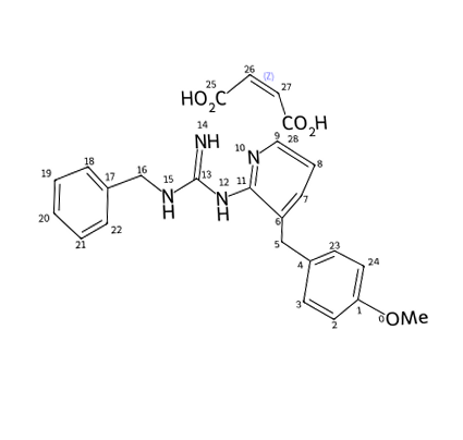 COc1ccc(Cc2cccnc2NC(=N)NCc2ccccc2)cc1.O=C(O)/C=C\C(=O)O